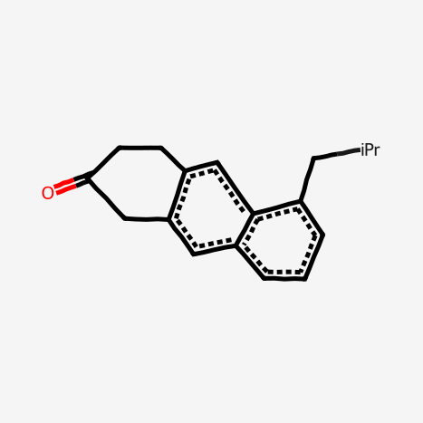 CC(C)Cc1cccc2cc3c(cc12)CCC(=O)C3